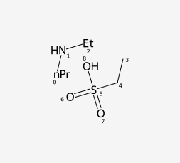 CCCNCC.CCS(=O)(=O)O